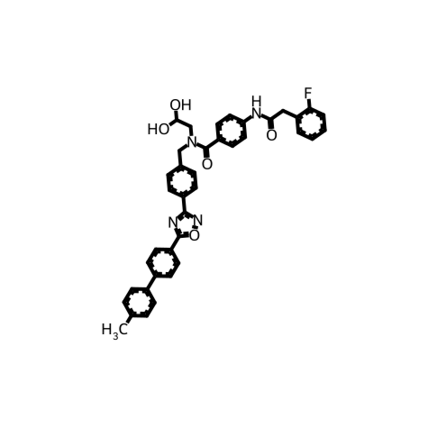 Cc1ccc(-c2ccc(-c3nc(-c4ccc(CN(CC(O)O)C(=O)c5ccc(NC(=O)Cc6ccccc6F)cc5)cc4)no3)cc2)cc1